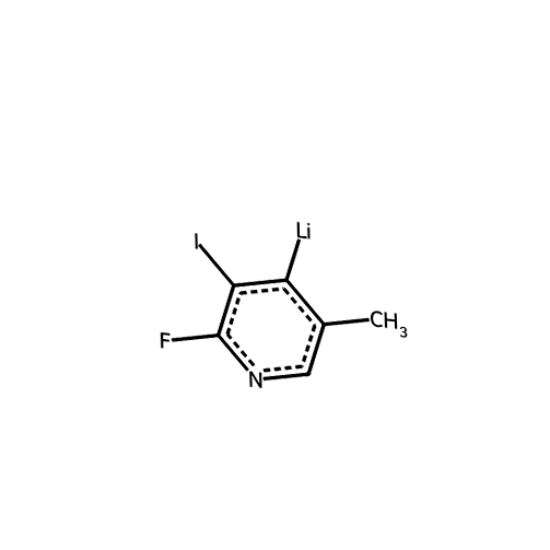 [Li][c]1c(C)cnc(F)c1I